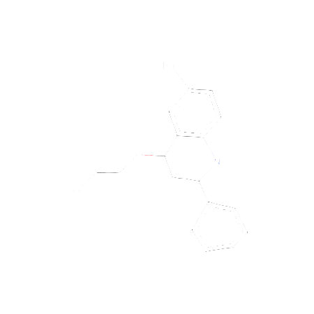 CC(C)(C)c1ccc2c(c1)C(OCCO)CC(c1ccccc1)N2